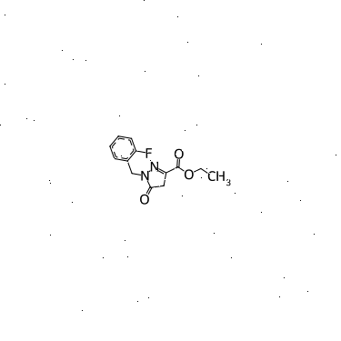 CCOC(=O)C1=NN(Cc2ccccc2F)C(=O)C1